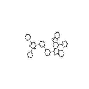 c1ccc(-c2cc(-c3cccc(-c4cccc(-c5nc6ccccc6c6c(-c7ccccc7)c7c(cc56)oc5ccccc57)c4)c3)nc(-c3ccccc3)n2)cc1